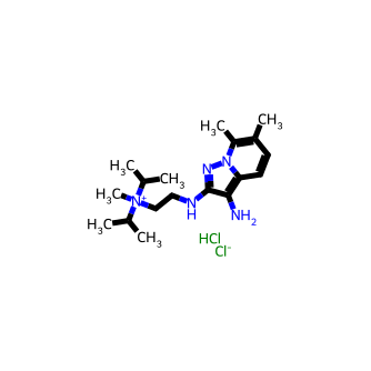 Cc1ccc2c(N)c(NCC[N+](C)(C(C)C)C(C)C)nn2c1C.Cl.[Cl-]